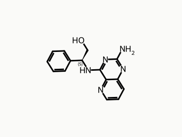 Nc1nc(N[C@H](CO)c2ccccc2)c2ncccc2n1